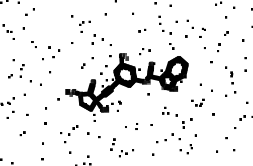 CN1CC[C@@](O)(C#Cc2cc(NC(=O)c3n[nH]c4ncccc34)cc(C(F)(F)F)c2)C1=O